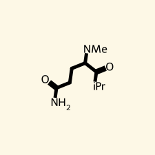 CNC(CCC(N)=O)C(=O)C(C)C